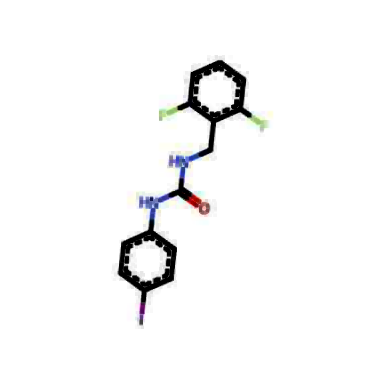 O=C(NCc1c(F)cccc1F)Nc1ccc(I)cc1